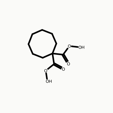 O=C(OO)C1(C(=O)OO)CCCCCCC1